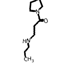 CCCNCCC(=O)N1CCCC1